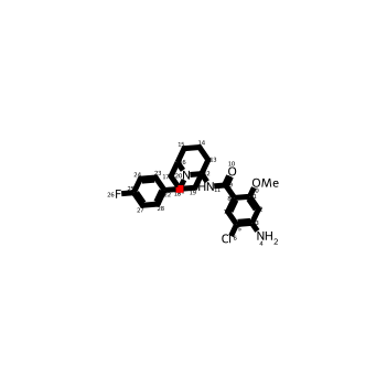 COc1cc(N)c(Cl)cc1C(=O)NC12CCCC(CCC1)N2Cc1ccc(F)cc1